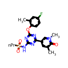 CCCS(=O)(=O)Nc1nc(Oc2ccc(F)cc2C)nc(-c2cc(C)c(=O)n(C)c2)n1